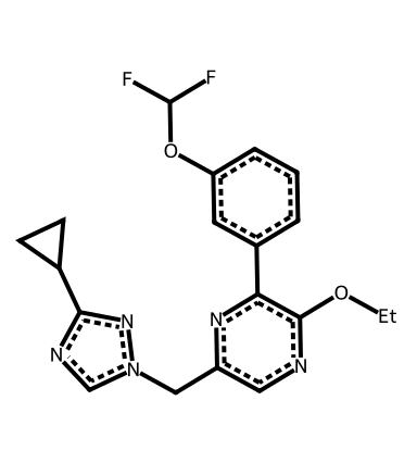 CCOc1ncc(Cn2cnc(C3CC3)n2)nc1-c1cccc(OC(F)F)c1